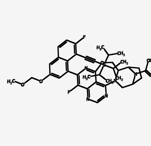 COCOc1cc(-c2nc3c4c(ncnc4c2F)N2CC4CCC(C2CO3)N4C(=O)O)c2c(C#C[Si](C(C)C)(C(C)C)C(C)C)c(F)ccc2c1